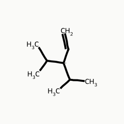 C=C[C](C(C)C)C(C)C